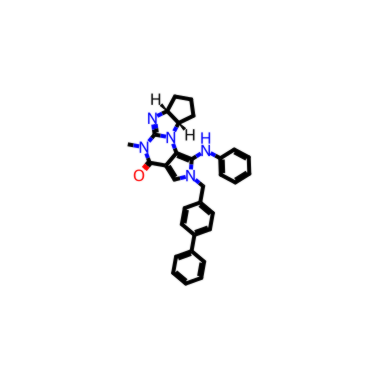 CN1C(=O)c2cn(Cc3ccc(-c4ccccc4)cc3)c(Nc3ccccc3)c2N2C1=N[C@@H]1CCC[C@@H]12